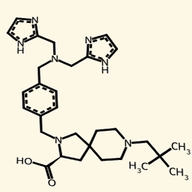 CC(C)(C)CN1CCC2(CC1)C[C@@H](C(=O)O)N(Cc1ccc(CN(Cc3ncc[nH]3)Cc3ncc[nH]3)cc1)C2